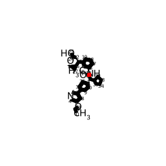 CCOc1cncc(-c2ccc([C@H](C(=O)Nc3cccc([C@H](CC(=O)O)C4CC4)c3C)C3CCCC3)cc2)c1